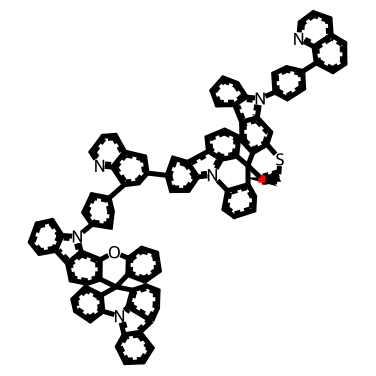 c1ccc2c(c1)Oc1c(ccc3c4ccccc4n(-c4ccc(-c5cc(-c6ccc7c(c6)c6cccc8c6n7-c6ccccc6C86c7ccccc7Sc7cc8c(cc76)c6ccccc6n8-c6ccc(-c7cccc8cccnc78)cc6)cc6cccnc56)cc4)c13)C21c2ccccc2-n2c3ccccc3c3cccc1c32